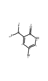 O=c1[nH]cc(Br)cc1C(F)F